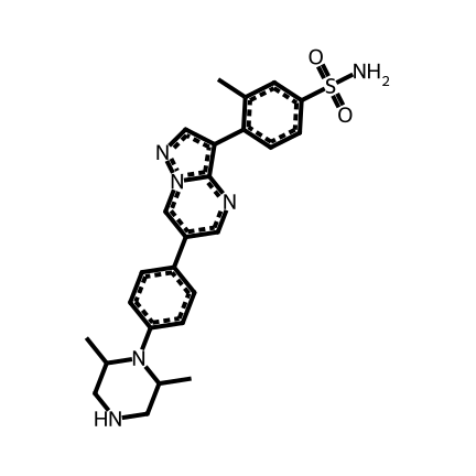 Cc1cc(S(N)(=O)=O)ccc1-c1cnn2cc(-c3ccc(N4C(C)CNCC4C)cc3)cnc12